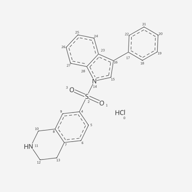 Cl.O=S(=O)(c1ccc2c(c1)CNCC2)n1cc(-c2ccccc2)c2ccccc21